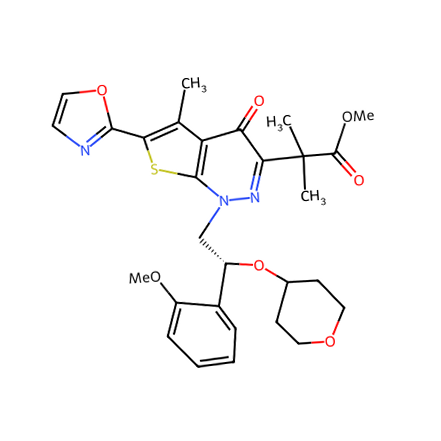 COC(=O)C(C)(C)c1nn(C[C@H](OC2CCOCC2)c2ccccc2OC)c2sc(-c3ncco3)c(C)c2c1=O